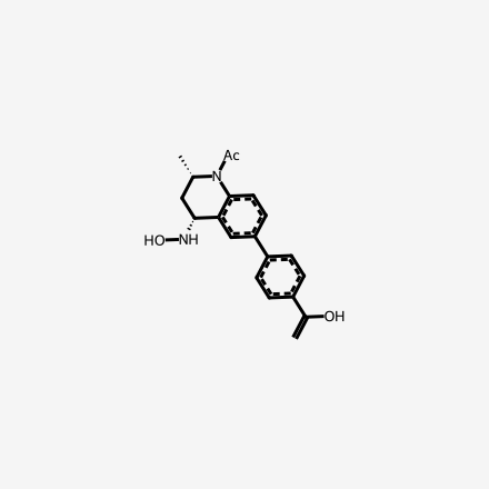 C=C(O)c1ccc(-c2ccc3c(c2)[C@H](NO)C[C@H](C)N3C(C)=O)cc1